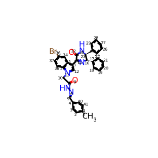 Cc1ccc(C=NNC(=O)Cn2cc(C3=N[C@@H](c4ccccc4)[C@H](c4ccccc4)NC3=O)c3cc(Br)ccc32)cc1